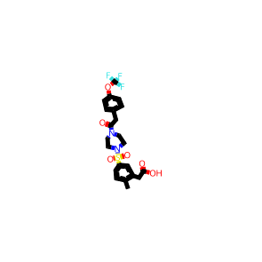 Cc1ccc(S(=O)(=O)N2CCN(C(=O)Cc3ccc(OC(F)(F)F)cc3)CC2)cc1CC(=O)O